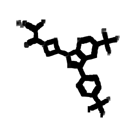 C=C(F)C(=O)N1CC(n2nc(-c3ccc(C(F)(F)F)cc3)c3cc(C(F)(F)F)cnc32)C1